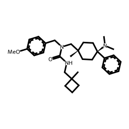 COc1ccc(CN(C[C@]2(C)CC[C@@](c3ccccc3)(N(C)C)CC2)C(=O)NCC2(C)CCC2)cc1